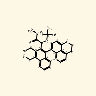 COC(=O)[C@@H](OC(C)(C)C)c1c(CBr)c(CBr)c2ccccc2c1-c1ccc2c3c(ccnc13)CCO2